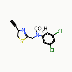 C#CC1CSC(CN(C(=O)O)c2cc(Cl)cc(Cl)c2)=N1